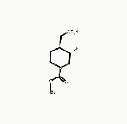 CC(C)(C)OC(=O)N1CC[C@@H](CC(=O)O)[C@H](F)C1